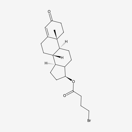 C[C@]12CCC(=O)C=C1CC[C@H]1[C@@H]3CC[C@H](OC(=O)CCCBr)C3CC[C@@H]12